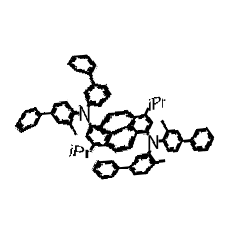 Cc1cc(-c2ccccc2)ccc1N(c1cccc(-c2ccccc2)c1)c1cc(C(C)C)c2ccc3c(N(c4ccc(-c5ccccc5)cc4C)c4cc(-c5ccccc5)ccc4C)cc(C(C)C)c4ccc1c2c43